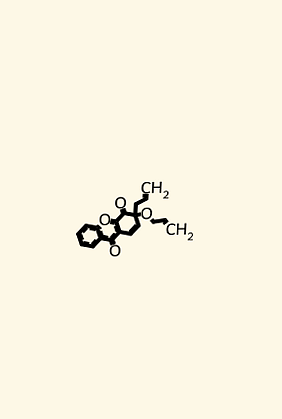 C=CCOC1(CC=C)C=Cc2c(oc3ccccc3c2=O)C1=O